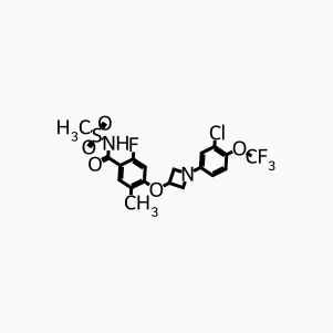 Cc1cc(C(=O)NS(C)(=O)=O)c(F)cc1OC1CN(c2ccc(OC(F)(F)F)c(Cl)c2)C1